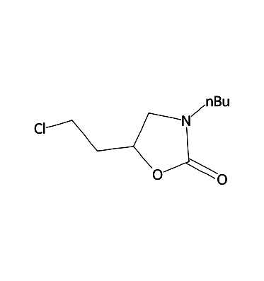 CCCCN1CC(CCCl)OC1=O